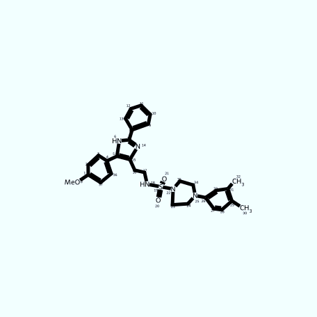 COc1ccc(-c2[nH]c(-c3ccccc3)nc2CCNS(=O)(=O)N2CCN(c3ccc(C)c(C)c3)CC2)cc1